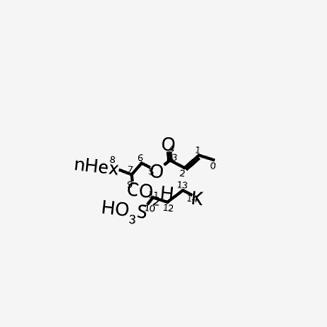 CC=CC(=O)OCC(CCCCCC)C(=O)O.O=S(=O)(O)CC[CH2][K]